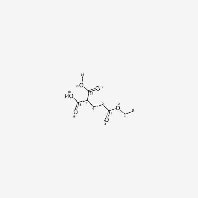 CCOC(=O)CCC(C(=O)O)C(=O)OC